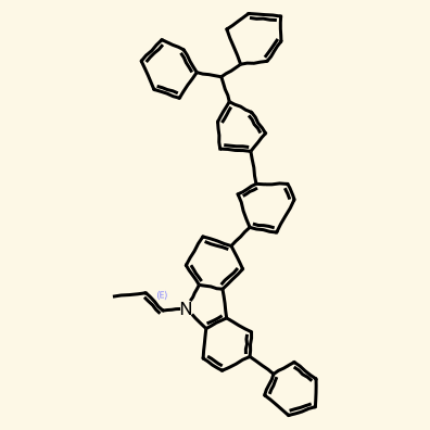 C/C=C/n1c2ccc(-c3ccccc3)cc2c2cc(-c3cccc(-c4ccc(C(c5ccccc5)C5C=CC=CC5)cc4)c3)ccc21